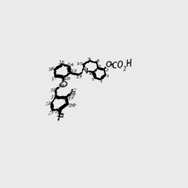 O=C(O)Oc1cccc2c1CCCN2Cc1ccccc1OCc1ccc(F)cc1F